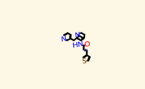 O=C(/C=C/c1ccsc1)NC1C2CCN(CC2)C1Cc1cccnc1